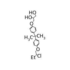 CC[C@H](Cl)COc1ccc(C(C)(C)c2ccc(OC[C@@H](O)CO)cc2)cc1